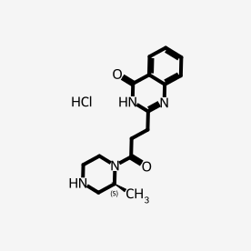 C[C@H]1CNCCN1C(=O)CCc1nc2ccccc2c(=O)[nH]1.Cl